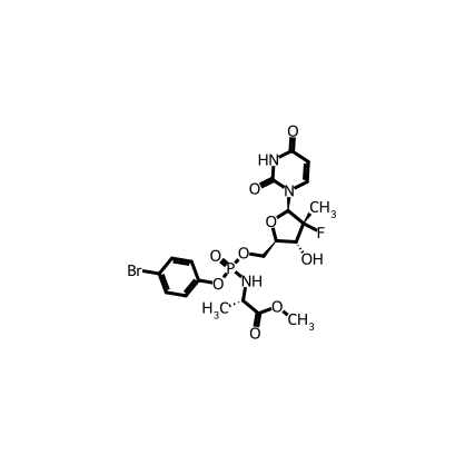 COC(=O)[C@H](C)NP(=O)(OC[C@H]1O[C@@H](n2ccc(=O)[nH]c2=O)[C@](C)(F)[C@@H]1O)Oc1ccc(Br)cc1